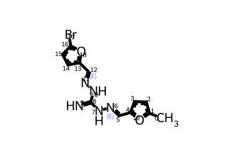 Cc1ccc(/C=N/NC(=N)N/N=C/c2ccc(Br)o2)o1